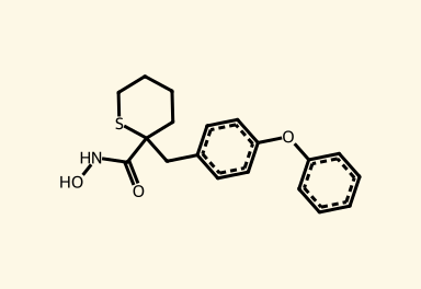 O=C(NO)C1(Cc2ccc(Oc3ccccc3)cc2)CCCCS1